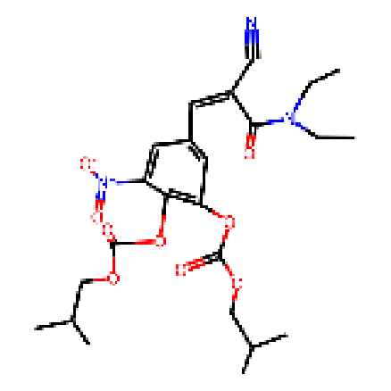 CCN(CC)C(=O)C(C#N)=Cc1cc(OC(=O)OCC(C)C)c(OC(=O)OCC(C)C)c([N+](=O)[O-])c1